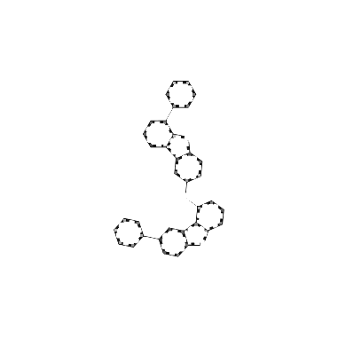 c1ccc(-c2ccc3sc4cccc(Nc5ccc6sc7c(-c8ccccc8)cccc7c6c5)c4c3c2)cc1